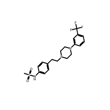 CS(=O)(=O)Nc1ccc(CCN2CCN(c3cccc(C(F)(F)F)c3)CC2)cc1